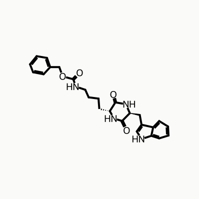 O=C(NCCCC[C@H]1NC(=O)[C@H](Cc2c[nH]c3ccccc23)NC1=O)OCc1ccccc1